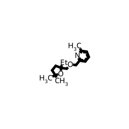 CCC1(COCc2cccc(C)n2)CCC(C)(C)O1